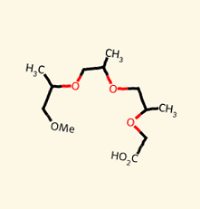 COCC(C)OCC(C)OCC(C)OCC(=O)O